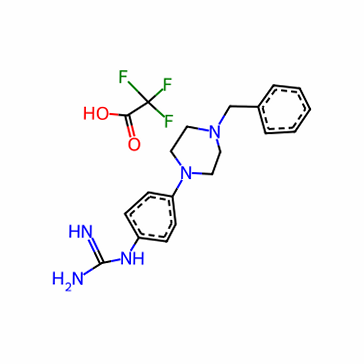 N=C(N)Nc1ccc(N2CCN(Cc3ccccc3)CC2)cc1.O=C(O)C(F)(F)F